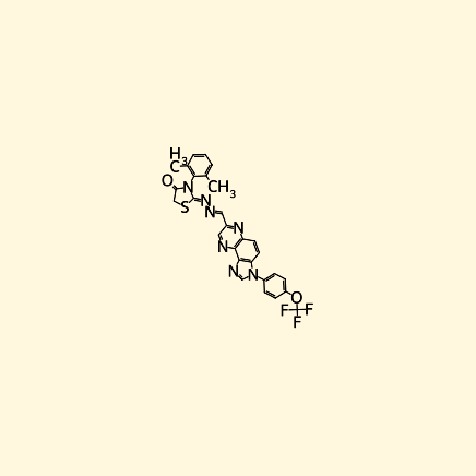 Cc1cccc(C)c1N1C(=O)CS/C1=N\N=C\c1cnc2c(ccc3c2ncn3-c2ccc(OC(F)(F)F)cc2)n1